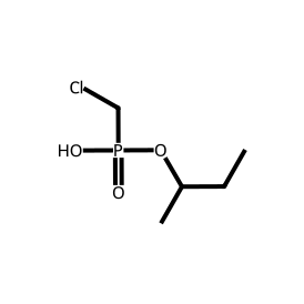 CCC(C)OP(=O)(O)CCl